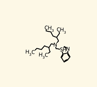 CCCCC(CC)CN(CC(CC)CCCC)C[SH]1C=Nc2ccccc21